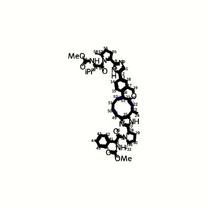 COC(=O)N[C@H](C(=O)N1C(c2ncc(-c3ccc4c(c3)COC3=C/C(C)c5[nH]c(C6CC[C@H](C)N6C(=O)[C@H](NC(=O)OC)c6ccccc6)nc5/C=C\C/C=C\34)[nH]2)CC[C@@H]1C)C(C)C